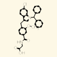 COc1cc(C(=O)NCC(=O)O)ccc1Cc1cn(C(c2ccccc2)c2ccccc2)c2cc(Cl)ccc12